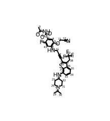 CC(=O)NS(=O)(=O)c1cc(OCC#N)c(NCC#Cc2sc3c(NC4CCN(C(C)C)CC4)cccc3c2CC(F)(F)F)cc1F